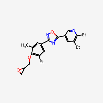 CCc1cc(-c2nc(-c3cc(C)c(OCC4CO4)c(CC)c3)no2)cnc1CC